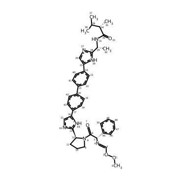 COO/C=N/[C@H](C(=O)N1CCC[C@H]1c1ncc(-c2ccc(-c3ccc(-c4cnc([C@@H](C)NC(=O)[C@@H](C)C(C)C)[nH]4)cc3)cc2)[nH]1)c1ccccc1